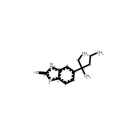 CCCC(C)(CC)c1ccc2oc(=O)[nH]c2c1